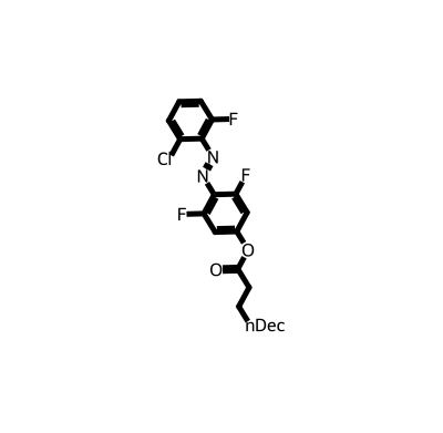 CCCCCCCCCCCCC(=O)Oc1cc(F)c(/N=N/c2c(F)cccc2Cl)c(F)c1